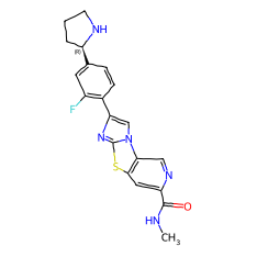 CNC(=O)c1cc2sc3nc(-c4ccc([C@H]5CCCN5)cc4F)cn3c2cn1